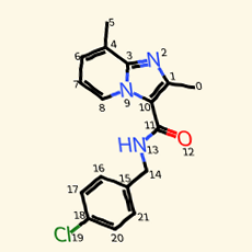 Cc1nc2c(C)cccn2c1C(=O)NCc1ccc(Cl)cc1